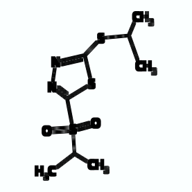 CC(C)Sc1nnc(S(=O)(=O)C(C)C)s1